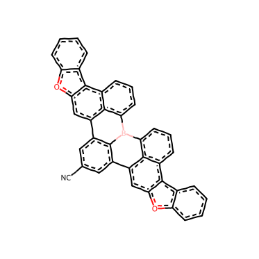 N#Cc1cc2c3c(c1)-c1cc4oc5ccccc5c4c4cccc(c14)B3c1cccc3c1c-2cc1oc2ccccc2c13